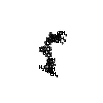 COC(=O)N[C@H](C(=O)N1CCC[C@H]1c1ncc(-c2ccc(-c3ccc(-c4ccc5nc([C@@H]6CCCN6C(=O)[C@@H](NC(=O)OC)C(C)C)[nH]c5c4)c4c3C(=O)C3(CCCC3)C4)cc2)[nH]1)C(C)C